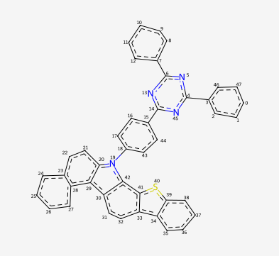 c1ccc(-c2nc(-c3ccccc3)nc(-c3ccc(-n4c5ccc6ccccc6c5c5ccc6c7ccccc7sc6c54)cc3)n2)cc1